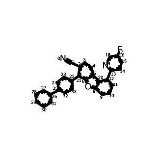 N#Cc1ccc2c(oc3cccc(-c4ccc(F)cn4)c32)c1-c1ccc(-c2ccccc2)cc1